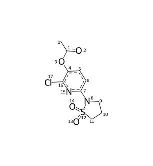 CC(=O)Oc1ccc(N2CCCS2(=O)=O)nc1Cl